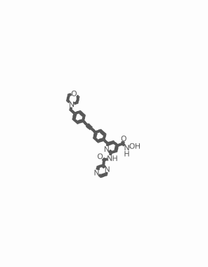 O=C(NO)c1cc(NC(=O)c2cnccn2)nc(-c2ccc(C#Cc3ccc(CN4CCOCC4)cc3)cc2)c1